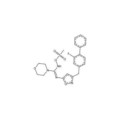 CS(=O)(=O)ONC(=Nc1cc(Cc2ccc(-c3ccccc3)c(F)c2)no1)N1CCOCC1